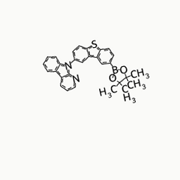 CC1(C)OB(c2ccc3sc4ccc(-n5c6ccccc6c6cccnc65)cc4c3c2)OC1(C)C